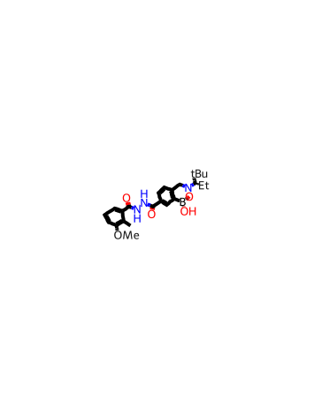 CC[C@@H](N1Cc2ccc(C(=O)NNC(=O)c3cccc(OC)c3C)cc2B(O)O1)C(C)(C)C